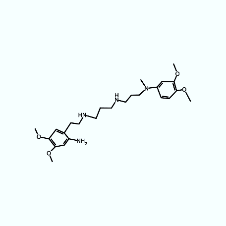 COc1ccc(N(C)CCCNCCCNCCc2cc(OC)c(OC)cc2N)cc1OC